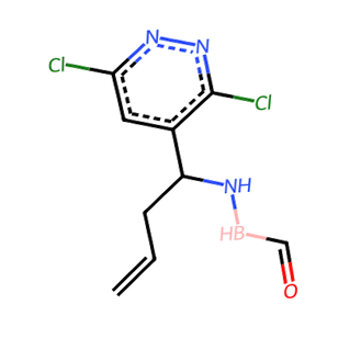 C=CCC(NBC=O)c1cc(Cl)nnc1Cl